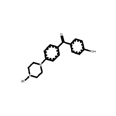 CC(C)N1CCN(c2ccc(C(=O)c3ccc(O)cc3)cc2)CC1